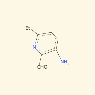 CCc1ccc(N)c(C=O)n1